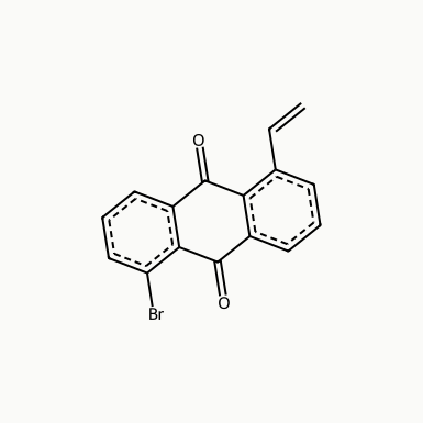 C=Cc1cccc2c1C(=O)c1cccc(Br)c1C2=O